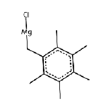 Cc1c(C)c(C)c([CH2][Mg][Cl])c(C)c1C